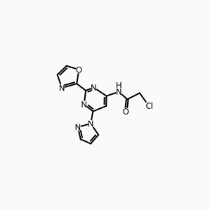 O=C(CCl)Nc1cc(-n2cccn2)nc(-c2ncco2)n1